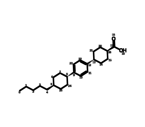 CCCCC[C@H]1CC[C@H](c2ccc([C@H]3CC[C@H](C(=O)O)CC3)cc2)CC1